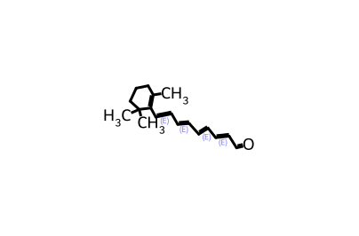 CC1=C(/C=C/C=C/C=C/C=C/C=O)C(C)(C)CCC1